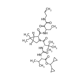 C=CCNC(=O)C(=O)C(CC)NC(=O)[C@@H]1[C@@H]2[C@H](CN1C(=O)[C@@H](NC(=O)N[C@H](C(=O)OC(C1CC1)C1CC1)C(C)C)C(C)(C)C)C2(C)C